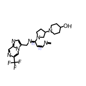 C=N/C=C\C(=N/Cc1cnc2cnc(C(F)(F)F)cn12)N1CCC(N2CCC(O)CC2)C1